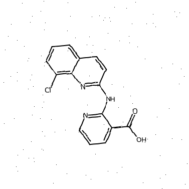 O=C(O)c1cccnc1Nc1ccc2cccc(Cl)c2n1